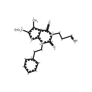 CCOC(=O)c1sc2c(c1C)c(=O)n(CCC=N)c(=O)n2CCc1ccccc1